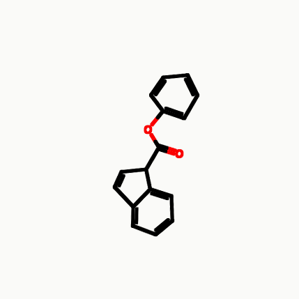 O=C(Oc1ccccc1)C1C=Cc2ccccc21